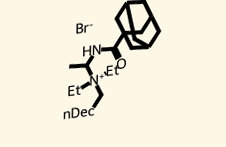 CCCCCCCCCCC[N+](CC)(CC)C(C)NC(=O)C12CC3CC(CC(C3)C1)C2.[Br-]